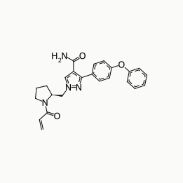 C=CC(=O)N1CCC[C@H]1Cn1cc(C(N)=O)c(-c2ccc(Oc3ccccc3)cc2)n1